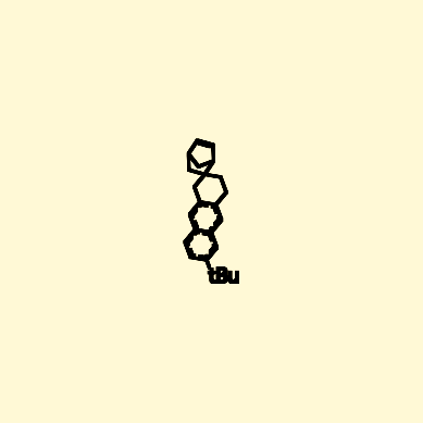 CC(C)(C)c1ccc2cc3c(cc2c1)CCC1(C3)CC2C=CC1C2